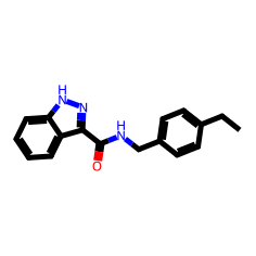 CCc1ccc(CNC(=O)c2n[nH]c3ccccc23)cc1